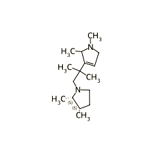 CC1C(C(C)(C)CN2CC[C@H](C)[C@@H]2C)=CCN1C